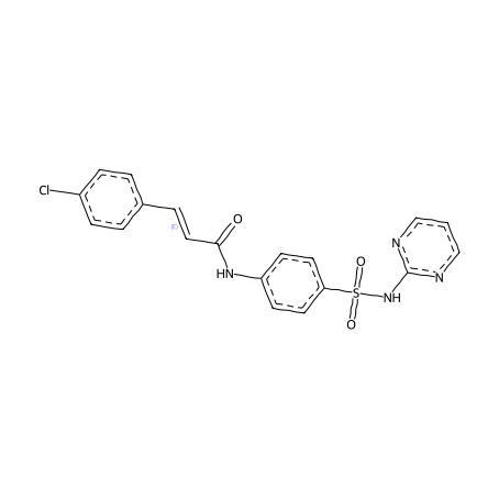 O=C(/C=C/c1ccc(Cl)cc1)Nc1ccc(S(=O)(=O)Nc2ncccn2)cc1